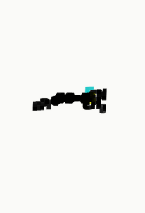 CCCC1=Cc2cc(-c3ccc(C#Cc4cc(C)c(SC#N)c(F)c4)cc3)ccc2C1